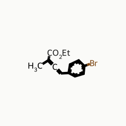 CCOC(=O)C(C)=C=Cc1ccc(Br)cc1